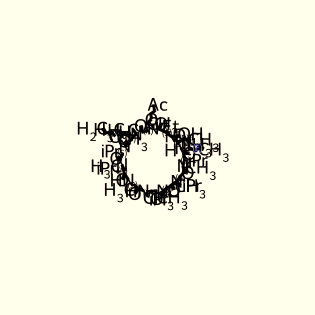 C=CCOC(C)(C)C[C@H]1C(=O)N[C@@H](C(C)C)C(=O)N(C)[C@@H](CC(C)C)C(=O)N[C@@H](C)C(=O)N[C@H](C)C(=O)N(C)[C@@H](CC(C)C)C(=O)N(C)[C@@H](CC(C)C)C(=O)N(C)[C@@H](C(C)C)C(=O)N(C)[C@@H]([C@H](O)[C@H](C)C/C=C/C)C(=O)N[C@@H](CC)C(=O)N(C)[C@H](COCCC(C)=O)C(=O)N1C